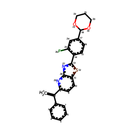 C=C(c1ccccc1)c1ccc2sc(-c3ccc(C4OCCCO4)cc3F)nc2n1